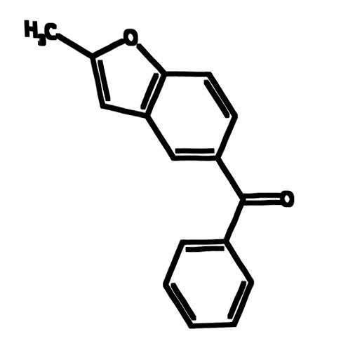 Cc1cc2cc(C(=O)c3ccccc3)ccc2o1